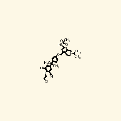 CC(C)N1CCc2c(COc3ccc(C(C)(C)c4cc(Cl)c(OCCCl)c(C#N)c4)cc3)nc(NS(C)(=O)=O)nc2C1